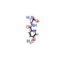 COc1ccc(C(=O)NCC(N)=O)nc1